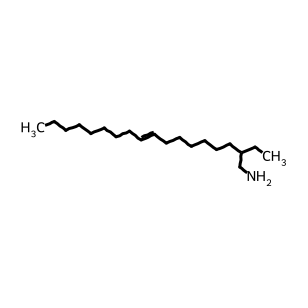 CCCCCCCCC=CCCCCCCC(CC)CN